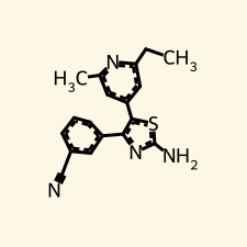 CCc1cc(-c2sc(N)nc2-c2cccc(C#N)c2)cc(C)n1